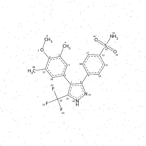 COc1c(C)cc(-c2c(-c3ccc(S(N)(=O)=O)cc3)n[nH]c2C(F)(F)F)cc1C